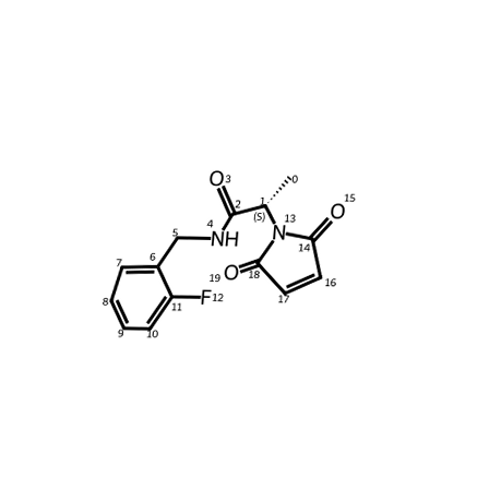 C[C@@H](C(=O)NCc1ccccc1F)N1C(=O)C=CC1=O